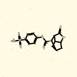 O=C1OC2CC3CC2C1[C@@H]3C(=O)Oc1ccc(S(=O)(=O)O)cc1